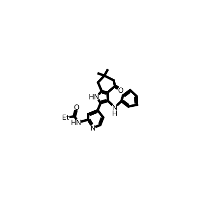 CCC(=O)Nc1cc(-c2[nH]c3c(c2Nc2ccccc2)C(=O)CC(C)(C)C3)ccn1